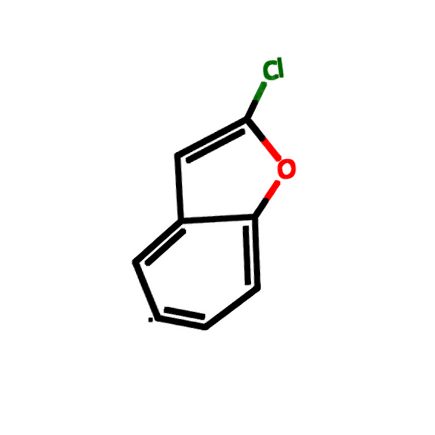 Clc1cc2c[c]ccc2o1